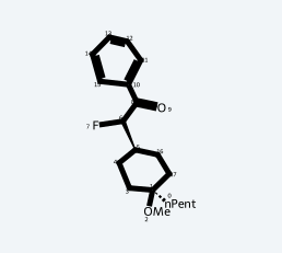 CCCCC[C@]1(OC)CC[C@@H](C(F)C(=O)c2ccccc2)CC1